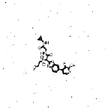 COCCS(=O)(=O)C(C(=O)NCC(=O)NC1CC1)c1nc2ccc(-c3ccnc(OC)c3F)cc2s1